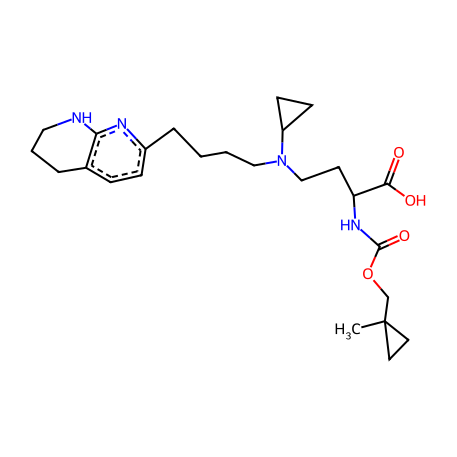 CC1(COC(=O)NC(CCN(CCCCc2ccc3c(n2)NCCC3)C2CC2)C(=O)O)CC1